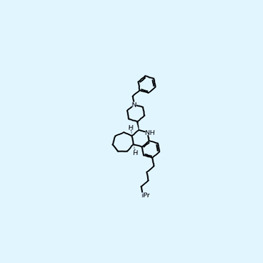 CC(C)CCCCc1ccc2c(c1)[C@H]1CCCCC[C@H]1[C@@H](C1CCN(Cc3ccccc3)CC1)N2